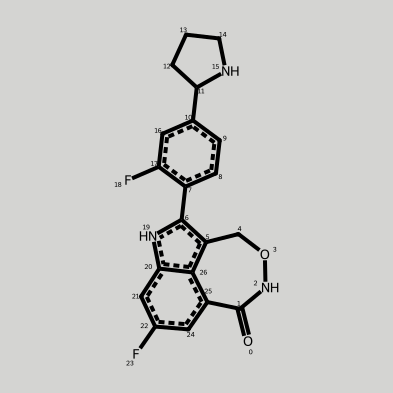 O=C1NOCc2c(-c3ccc(C4CCCN4)cc3F)[nH]c3cc(F)cc1c23